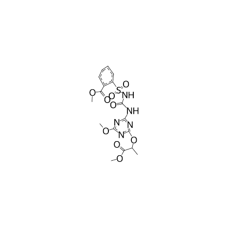 COC(=O)c1ccccc1S(=O)(=O)NC(=O)Nc1nc(OC)nc(OC(C)C(=O)OC)n1